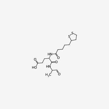 CC(C=O)NC(=O)C(CCC(=O)O)NC(=O)CCCCC1CCSS1